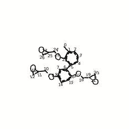 Cc1cccc(-c2cc(OCC3CO3)ccc2OCC2CO2)c1OCC1CO1